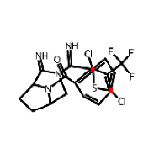 N=C(c1ccc(Cl)s1)N1CC2CCC(C1=N)N2C(=O)c1cccc(C(F)(F)F)c1Cl